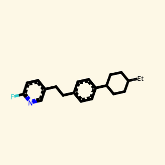 CCC1CCC(c2ccc(CCc3ccc(F)nc3)cc2)CC1